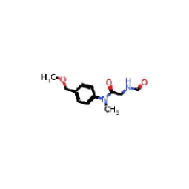 COCc1ccc(N(C)C(=O)CNC=O)cc1